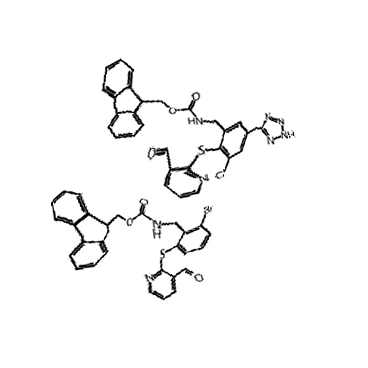 O=Cc1cccnc1Sc1c(Cl)cc(-c2nn[nH]n2)cc1CNC(=O)OCC1c2ccccc2-c2ccccc21.O=Cc1cccnc1Sc1cccc(Br)c1CNC(=O)OCC1c2ccccc2-c2ccccc21